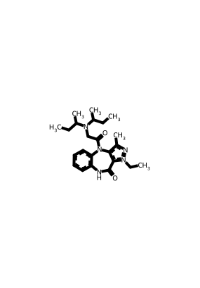 CCC(C)N(CC(=O)N1c2ccccc2NC(=O)c2c1c(C)nn2CC)C(C)CC